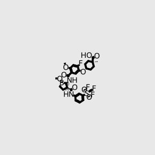 COB1CC[C@H](C(=O)Nc2cccc(S(=O)(=O)C(F)(F)F)c2)[C@@H]1NC(=O)c1cc(O[C@H]2CC[C@@](C)(C(=O)O)CC2)c(F)cc1OC